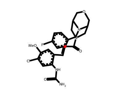 COc1cc(/C=C/C(=O)N2CC3COCC(C2)N3Cc2ccc(F)cc2)c(NC(N)=O)cc1Cl